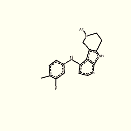 CC(=O)N1CCc2[nH]c3nccc(Nc4ccc(C)c(F)c4)c3c2C1